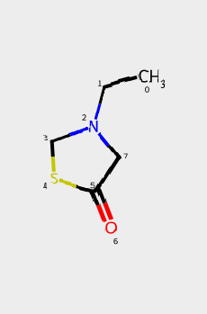 CCN1CSC(=O)C1